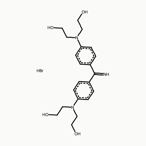 Br.N=C(c1ccc(N(CCO)CCO)cc1)c1ccc(N(CCO)CCO)cc1